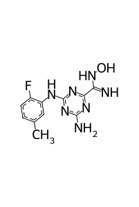 Cc1ccc(F)c(Nc2nc(N)nc(C(=N)NO)n2)c1